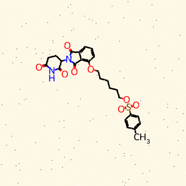 Cc1ccc(S(=O)(=O)OCCCCCCOc2cccc3c2C(=O)N(C2CCC(=O)NC2=O)C3=O)cc1